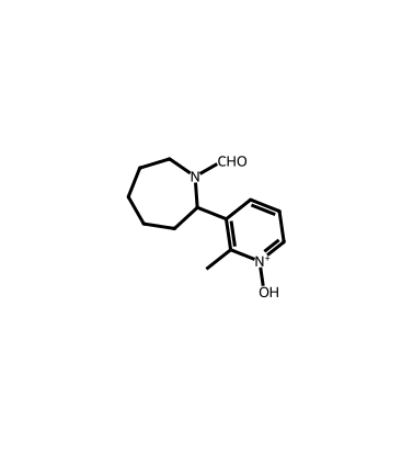 Cc1c(C2CCCCCN2C=O)ccc[n+]1O